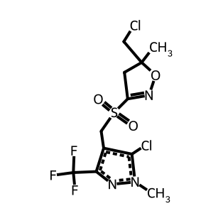 Cn1nc(C(F)(F)F)c(CS(=O)(=O)C2=NOC(C)(CCl)C2)c1Cl